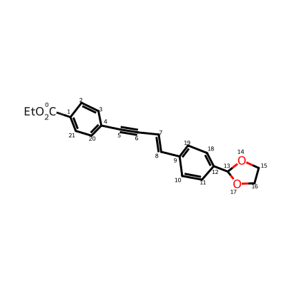 CCOC(=O)c1ccc(C#CC=Cc2ccc(C3OCCO3)cc2)cc1